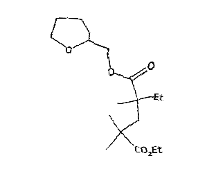 CCOC(=O)C(C)(C)CC(C)(CC)C(=O)OCC1CCCO1